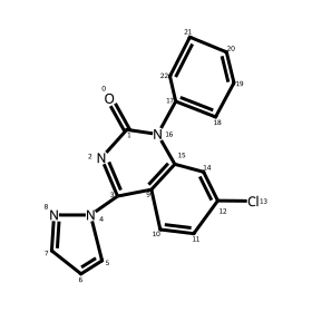 O=c1nc(-n2cccn2)c2ccc(Cl)cc2n1-c1ccccc1